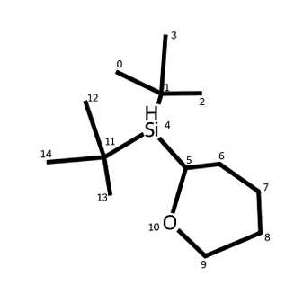 CC(C)(C)[SiH](C1CCCCO1)C(C)(C)C